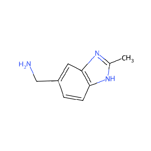 Cc1nc2cc(CN)ccc2[nH]1